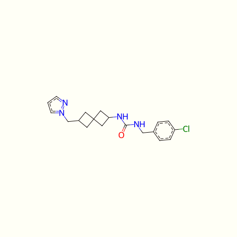 O=C(NCc1ccc(Cl)cc1)NC1CC2(CC(Cn3cccn3)C2)C1